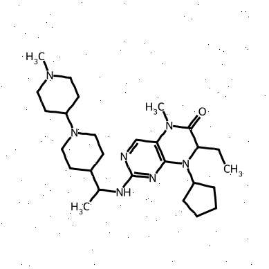 CCC1C(=O)N(C)c2cnc(NC(C)C3CCN(C4CCN(C)CC4)CC3)nc2N1C1CCCC1